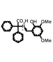 COc1cc(/C=N/C(C(=O)O)(c2ccccc2)c2ccccc2)c(O)c(OC)c1